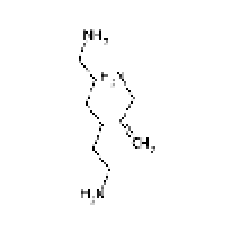 C=CCN.NCCCCCCN